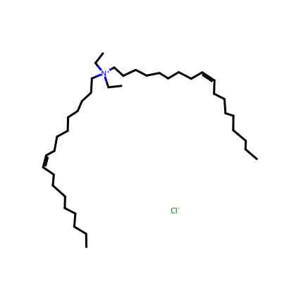 CCCCCCCC/C=C\CCCCCCCC[N+](CC)(CC)CCCCCCCC/C=C\CCCCCCCC.[Cl-]